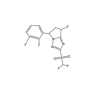 O=S(=O)(c1nc2n(n1)C(c1cccc(F)c1F)CC2F)C(F)F